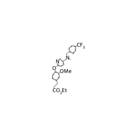 CCOC(=O)CCc1ccc(Oc2ccc(N(C)Cc3ccc(C(F)(F)F)cc3)cn2)c(OC)c1